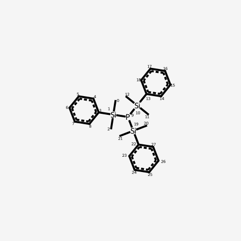 C[Si](C)(c1ccccc1)P([Si](C)(C)c1ccccc1)[Si](C)(C)c1ccccc1